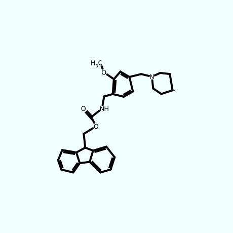 COc1cc(CN2CC[CH]CC2)ccc1CNC(=O)OCC1c2ccccc2-c2ccccc21